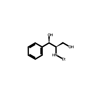 CCN[C@H](CO)[C@H](O)c1ccccc1